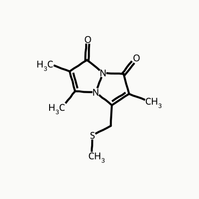 CSCc1c(C)c(=O)n2c(=O)c(C)c(C)n12